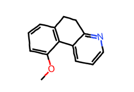 COc1cccc2c1-c1cccnc1CC2